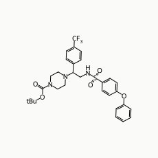 CC(C)(C)OC(=O)N1CCN(C(CNS(=O)(=O)c2ccc(Oc3ccccc3)cc2)c2ccc(C(F)(F)F)cc2)CC1